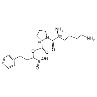 NCCCC[C@H](N)C(=O)N1CCC[C@H]1C(=O)OC(CCc1ccccc1)C(=O)O